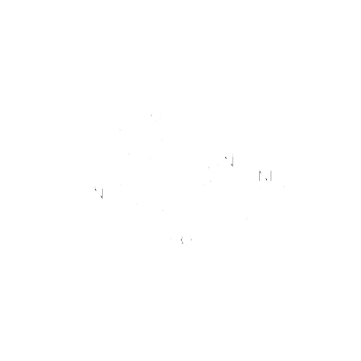 CN(CCC1CCOCC1)Cc1ccc(Oc2ccc3c(N)noc3c2)cc1